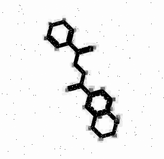 C=C(CCC(=O)C1=CCCC=C1)c1ccc2c(c1)CCCO2